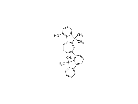 CC1(C)C2=CC(c3cccc4c3C(C)(C)c3ccccc3-4)=CCC=C2c2c(O)cccc21